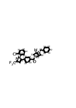 O=C(c1ccc(-c2cc(C(F)(F)F)nn2-c2ccccc2Cl)cc1)N1C[C@H]2CC1CN2Cc1ccccc1